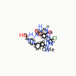 COc1c(Nc2ncc(Cl)c(Nc3ccccc3C(=O)N(C)CCNS(N)(=O)=O)n2)ccc2c1CCC[C@H](N1CCN(CCO)CC1)C2